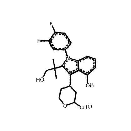 CC(C)(CO)c1c(C2CCOC(C=O)C2)c2c(O)cccc2n1-c1ccc(F)c(F)c1